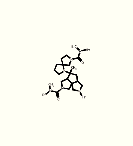 CC(C)N1CC2CC(C)(N3CCCC34CCN(C(=O)N(C)C(C)C)C4)C3CN(C(=O)N(C)C(C)C)CC23C1